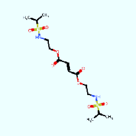 CC(C)S(=O)(=O)NCCOC(=O)/C=C/C(=O)OCCNS(=O)(=O)C(C)C